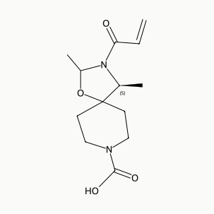 C=CC(=O)N1C(C)OC2(CCN(C(=O)O)CC2)[C@@H]1C